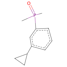 CP(C)(=O)c1cccc(C2CC2)c1